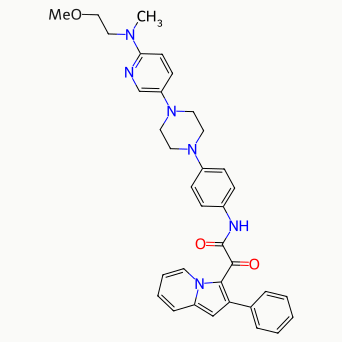 COCCN(C)c1ccc(N2CCN(c3ccc(NC(=O)C(=O)c4c(-c5ccccc5)cc5ccccn45)cc3)CC2)cn1